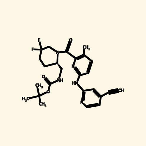 C#Cc1ccnc(Nc2ccc(C)c(C(=O)N3CC(F)(F)CC[C@@H]3CNC(=O)OC(C)(C)C)n2)c1